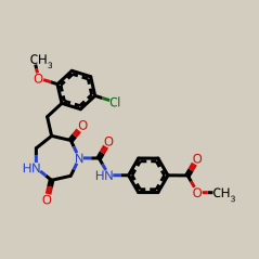 COC(=O)c1ccc(NC(=O)N2CC(=O)NCC(Cc3cc(Cl)ccc3OC)C2=O)cc1